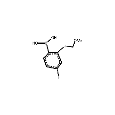 COCOc1cc(F)ccc1B(O)O